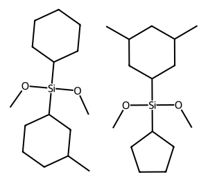 CO[Si](OC)(C1CCCC1)C1CC(C)CC(C)C1.CO[Si](OC)(C1CCCCC1)C1CCCC(C)C1